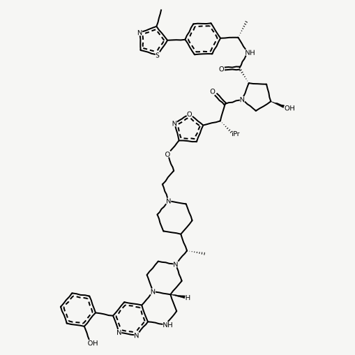 Cc1ncsc1-c1ccc([C@H](C)NC(=O)[C@@H]2C[C@@H](O)CN2C(=O)[C@@H](c2cc(OCCN3CCC([C@H](C)N4CCN5c6cc(-c7ccccc7O)nnc6NC[C@H]5C4)CC3)no2)C(C)C)cc1